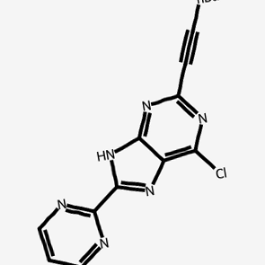 CCCCC#Cc1nc(Cl)c2nc(-c3ncccn3)[nH]c2n1